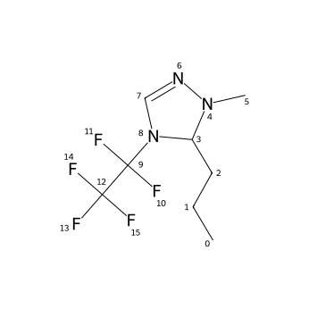 CCCC1N(C)N=CN1C(F)(F)C(F)(F)F